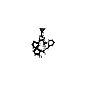 O=C(NCC1CCCCN1C(=O)c1nc(C2CC2)sc1-c1ccccc1)c1ccccc1Cl